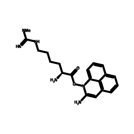 CNC(=N)NCCCC[C@H](N)C(=O)ON1C(N)=Cc2cccc3cccc1c23